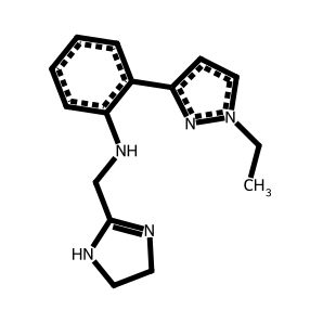 CCn1ccc(-c2ccccc2NCC2=NCCN2)n1